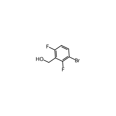 OCc1c(F)ccc(Br)c1F